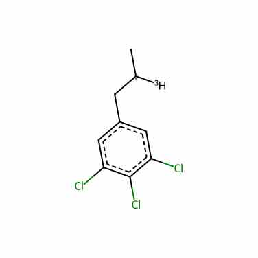 [3H][C](C)Cc1cc(Cl)c(Cl)c(Cl)c1